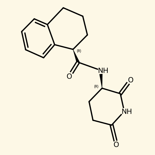 O=C1CC[C@@H](NC(=O)[C@@H]2CCCc3ccccc32)C(=O)N1